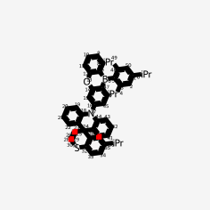 CC(C)c1cc(C(C)C)c(B2c3ccccc3Oc3cc(N4c5ccccc5C5(c6ccccc6Sc6ccc(C(C)C)cc65)c5ccccc54)ccc32)c(C(C)C)c1